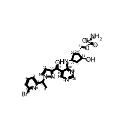 CC(c1cccc(Br)n1)n1ccc(C(=O)c2cncnc2N[C@@H]2C[C@H](COS(N)(=O)=O)[C@@H](O)C2)n1